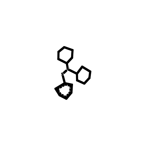 c1ccc(SN(C2CCCCC2)C2CCCCC2)cc1